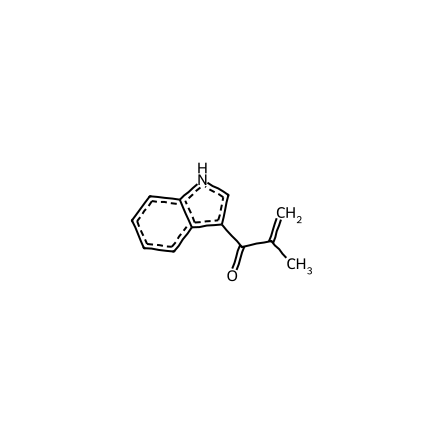 C=C(C)C(=O)c1c[nH]c2ccccc12